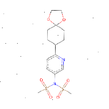 CS(=O)(=O)N(c1ccc(C2CCC3(CC2)OCCO3)nc1)S(C)(=O)=O